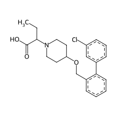 CCC(C(=O)O)N1CCC(OCc2ccccc2-c2cccc(Cl)c2)CC1